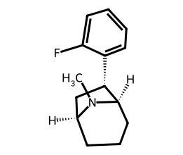 CN1[C@H]2CCC[C@@H]1[C@@H](c1ccccc1F)C2